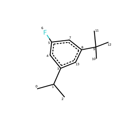 CC(C)c1cc(F)cc(C(C)(C)C)c1